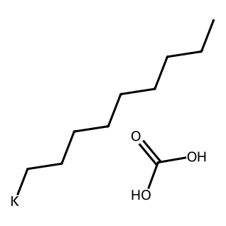 CCCCCCCC[CH2][K].O=C(O)O